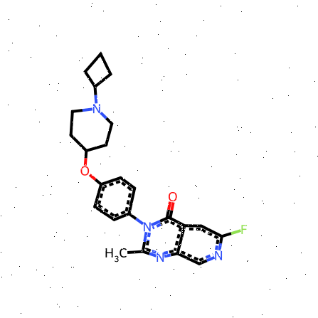 Cc1nc2cnc(F)cc2c(=O)n1-c1ccc(OC2CCN(C3CCC3)CC2)cc1